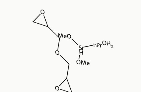 C(OCC1CO1)C1CO1.CCC[SiH](OC)OC.O